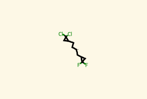 FC1(F)CC1C[CH]CCC1CC1(Cl)Cl